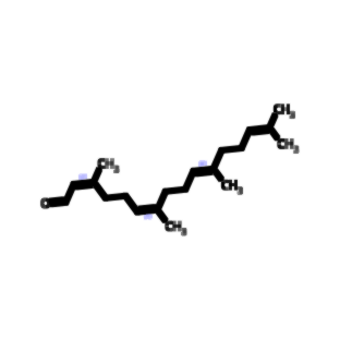 CC(C)=CCC/C(C)=C/CC/C(C)=C\CC/C(C)=C\C=O